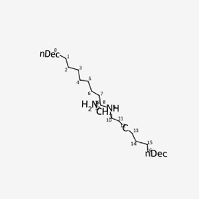 CCCCCCCCCCCCCCCCCCNCCCCCCCCCCCCCCCC.CN